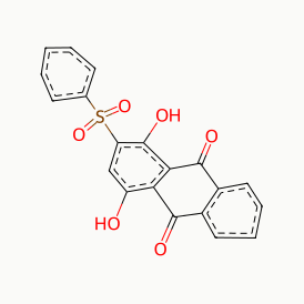 O=C1c2ccccc2C(=O)c2c(O)c(S(=O)(=O)c3ccccc3)cc(O)c21